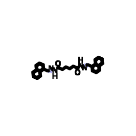 O=C(CCCCC(=O)N/N=C/c1cccc2ccccc12)N/N=C/c1cccc2ccccc12